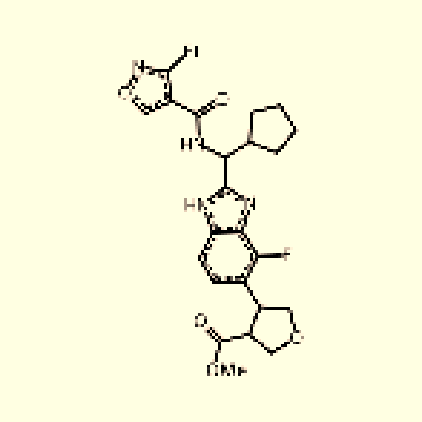 CCc1nocc1C(=O)NC(c1nc2c(F)c(C3COCC3C(=O)OC)ccc2[nH]1)C1CCCC1